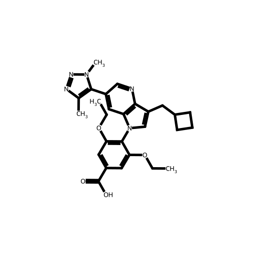 CCOc1cc(C(=O)O)cc(OCC)c1-n1cc(CC2CCC2)c2ncc(-c3c(C)nnn3C)cc21